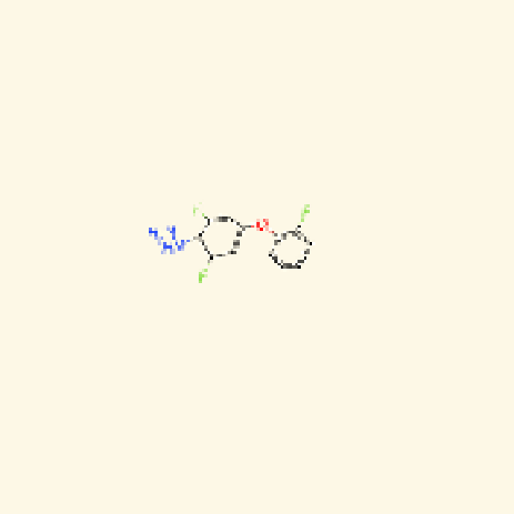 NNC1C(F)=CC(Oc2ccccc2F)=CC1F